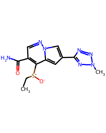 CC[S+]([O-])c1c(C(N)=O)cnn2cc(-c3nnn(C)n3)cc12